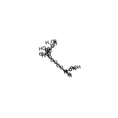 Cc1ncsc1-c1ccc(CNC(=O)[C@@H]2C[C@@H](O)CN2C(=O)[C@@H](NC(=O)COCCOCCOCCOCCOCCCn2cc(-c3ccc4c(c3)CC/C4=N\O)c(-c3ccncc3)n2)C(C)(C)C)cc1